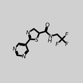 O=C(NCC(F)(F)F)C1CN=C(c2cncnc2)S1